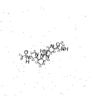 C=C(C)C(=O)Nc1ccnc(-c2cccc3cnc(Nc4ccc(C5CNCCO5)nc4)nc23)c1